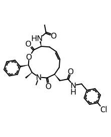 CC(=O)N[C@H]1CC=CC[C@@H](CC(=O)NCc2ccc(Cl)cc2)C(=O)N(C)[C@@H](C)[C@@H](c2ccccc2)OC1=O